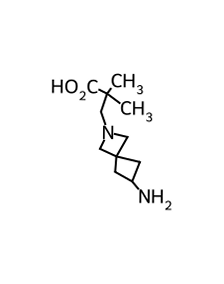 CC(C)(CN1CC2(CC(N)C2)C1)C(=O)O